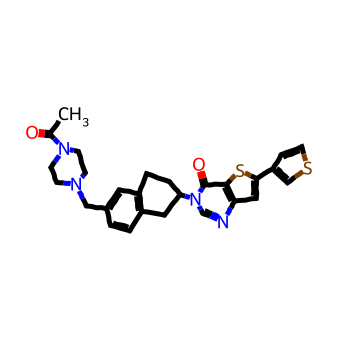 CC(=O)N1CCN(Cc2ccc3c(c2)CCC(n2cnc4cc(-c5ccsc5)sc4c2=O)C3)CC1